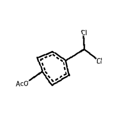 CC(=O)Oc1ccc(C(Cl)Cl)cc1